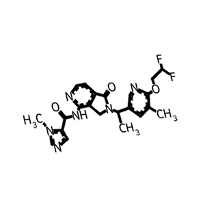 Cc1cc(C(C)N2Cc3c(ccnc3NC(=O)c3cncn3C)C2=O)cnc1OCC(F)F